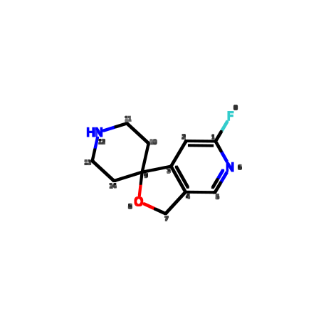 Fc1cc2c(cn1)COC21CCNCC1